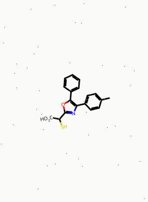 Cc1ccc(-c2nc(C(S)C(=O)O)oc2-c2ccccc2)cc1